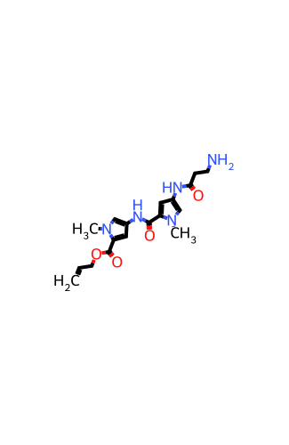 C=CCOC(=O)c1cc(NC(=O)c2cc(NC(=O)CCN)cn2C)cn1C